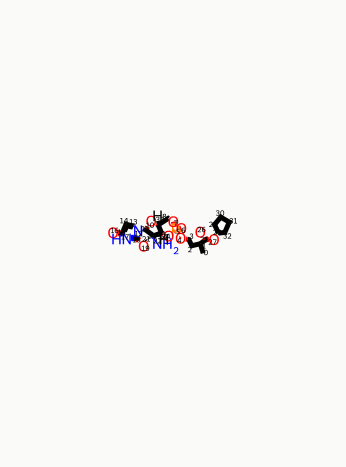 CC(CCO[P@@]1(=O)OC[C@H]2O[C@@H](n3ccc(=O)[nH]c3=O)[C@](C)(N)[C@@H]2O1)C(=O)OC1CCCC1